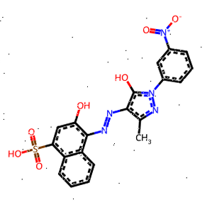 Cc1nn(-c2cccc([N+](=O)[O-])c2)c(O)c1/N=N/c1c(O)cc(S(=O)(=O)O)c2ccccc12